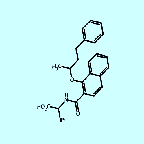 CC(CCc1ccccc1)Oc1c(C(=O)NC(C(=O)O)C(C)C)ccc2ccccc12